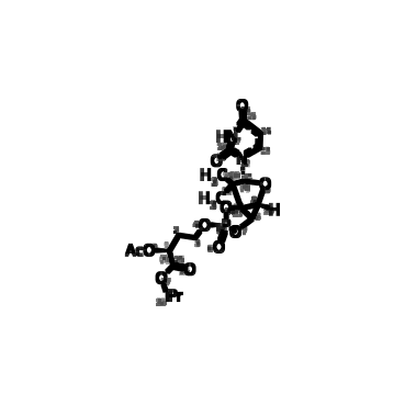 CC(=O)O[C@@H](CCO[P@]1(=O)OC2[C@H]3O[C@@H](n4ccc(=O)[nH]c4=O)C(C)(C)[C@@]23O1)C(=O)OC(C)C